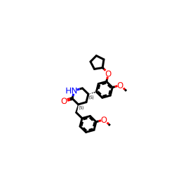 COc1cccc(C[C@@H]2C[C@@H](c3ccc(OC)c(OC4CCCC4)c3)CNC2=O)c1